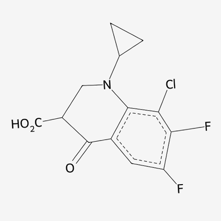 O=C(O)C1CN(C2CC2)c2c(cc(F)c(F)c2Cl)C1=O